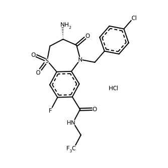 Cl.N[C@H]1CS(=O)(=O)c2cc(F)c(C(=O)NCC(F)(F)F)cc2N(Cc2ccc(Cl)cc2)C1=O